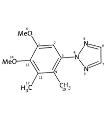 COc1cc(-n2nccn2)c(C)c(C)c1OC